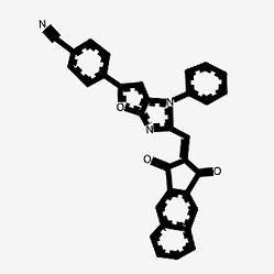 N#Cc1ccc(-c2cc3c(nc(C=C4C(=O)c5cc6ccccc6cc5C4=O)n3-c3ccccc3)o2)cc1